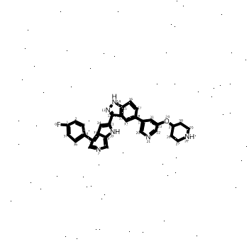 Fc1ccc(-c2cncc3[nH]c(-c4n[nH]c5ccc(-c6cncc(OC7CCNCC7)c6)cc45)cc23)cc1